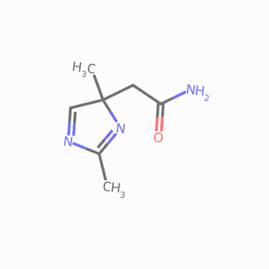 CC1=NC(C)(CC(N)=O)C=N1